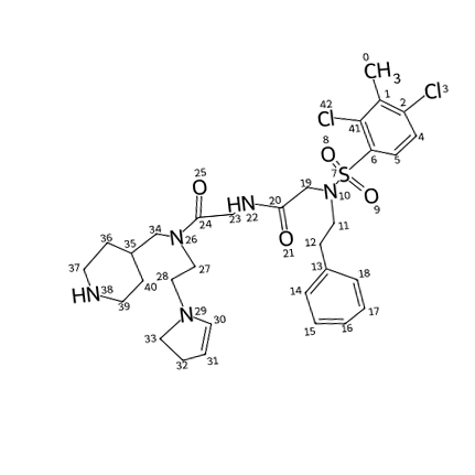 Cc1c(Cl)ccc(S(=O)(=O)N(CCc2ccccc2)CC(=O)NCC(=O)N(CCN2C=CCC2)CC2CCNCC2)c1Cl